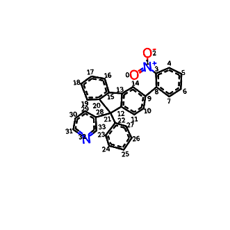 O=[N+]([O-])c1ccccc1-c1ccc2c(c1)-c1ccccc1C2(c1ccccc1)c1cccnc1